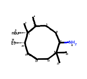 CCCC[C@]1(C)C(C)CCC(N)C(C)(C)CCC[C@@H]1CC